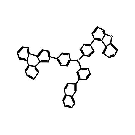 c1cc(-c2ccc3ccccc3c2)cc(N(c2ccc(-c3ccc4c5ccccc5c5ccccc5c4c3)cc2)c2ccc(-c3cccc4oc5ccccc5c34)cc2)c1